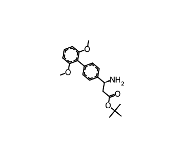 COc1cccc(OC)c1-c1ccc([C@@H](N)CC(=O)OC(C)(C)C)cc1